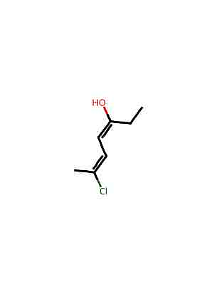 CC/C(O)=C\C=C(/C)Cl